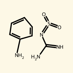 N=C(N)N=S(=O)=O.Nc1ccccc1